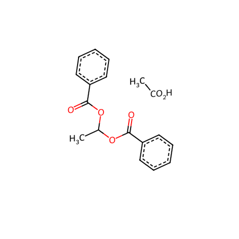 CC(=O)O.CC(OC(=O)c1ccccc1)OC(=O)c1ccccc1